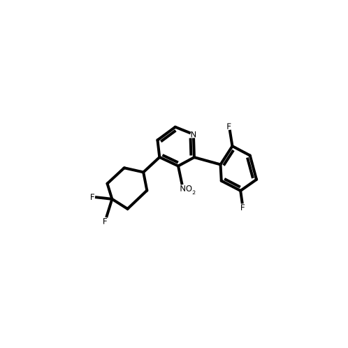 O=[N+]([O-])c1c(C2CCC(F)(F)CC2)ccnc1-c1cc(F)ccc1F